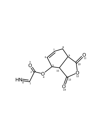 N=CC(=O)OC1C=CCC2C(=O)OC(=O)C12